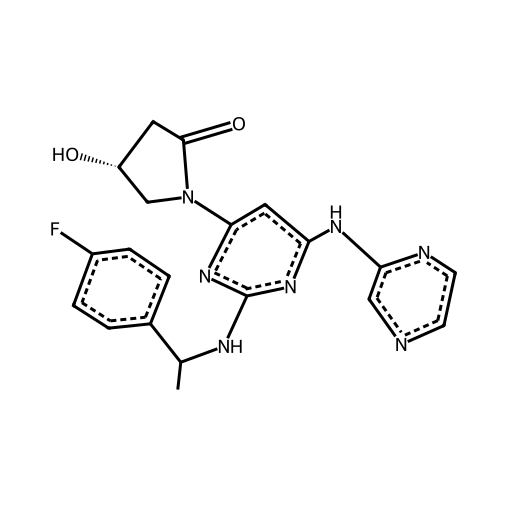 CC(Nc1nc(Nc2cnccn2)cc(N2C[C@H](O)CC2=O)n1)c1ccc(F)cc1